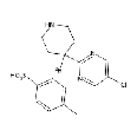 Cc1ccc(S(=O)(=O)O)cc1.[2H]C1(c2ncc(Cl)cn2)CCNCC1